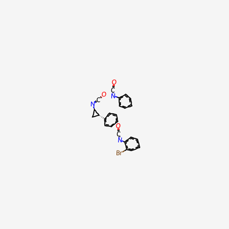 O=C=N[C@@H]1C[C@H]1c1ccccc1.O=C=Nc1ccccc1.O=C=Nc1ccccc1Br